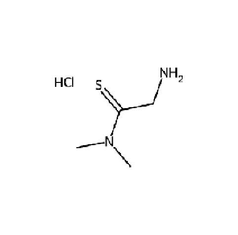 CN(C)C(=S)CN.Cl